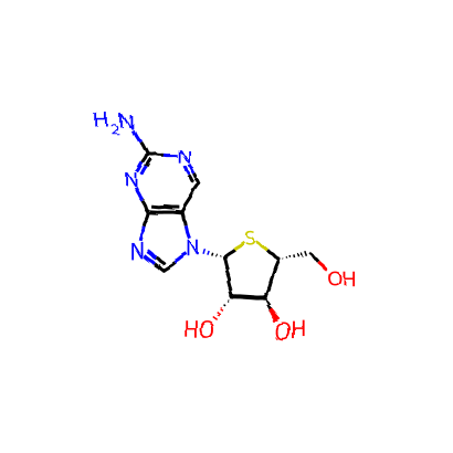 Nc1ncc2c(ncn2[C@@H]2S[C@H](CO)[C@@H](O)[C@@H]2O)n1